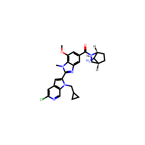 COc1cc(C(=O)N2C[C@H]3CC[C@@H]2[C@@H]3N)cc2nc(-c3cc4cc(Cl)ncc4n3CC3CC3)n(C)c12